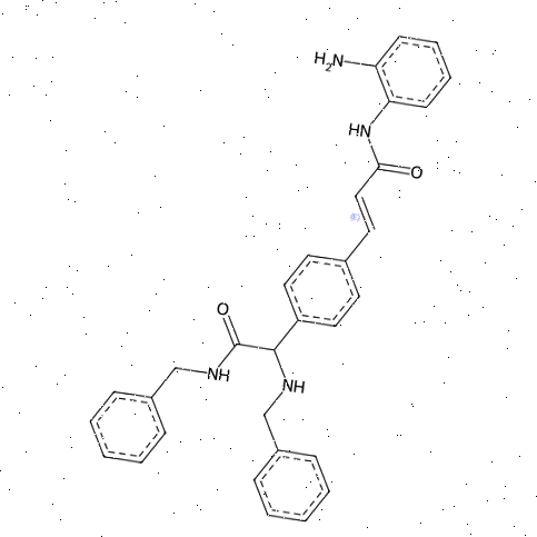 Nc1ccccc1NC(=O)/C=C/c1ccc(C(NCc2ccccc2)C(=O)NCc2ccccc2)cc1